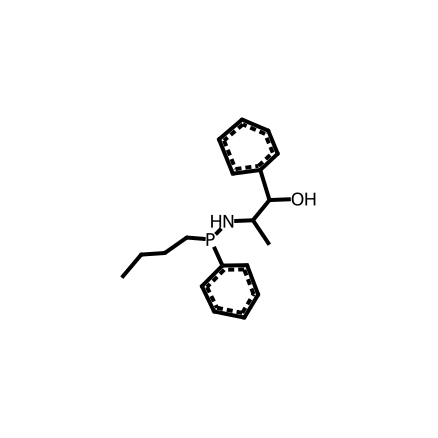 CCCCP(NC(C)C(O)c1ccccc1)c1ccccc1